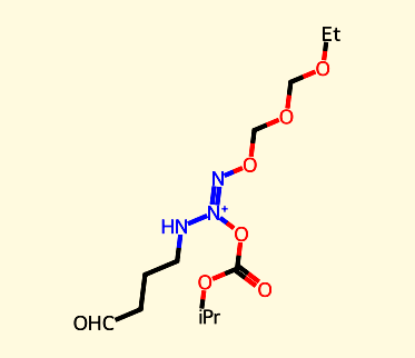 CCOCOCON=[N+](NCCCC=O)OC(=O)OC(C)C